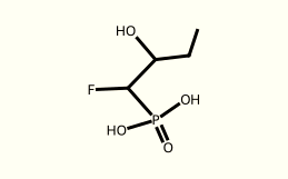 CCC(O)C(F)P(=O)(O)O